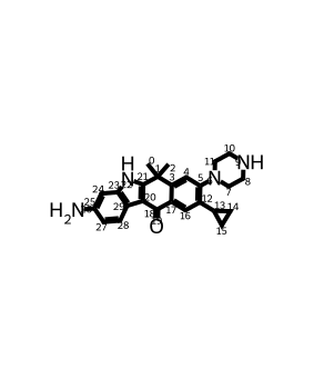 CC1(C)c2cc(N3CCNCC3)c(C3CC3)cc2C(=O)c2c1[nH]c1cc(N)ccc21